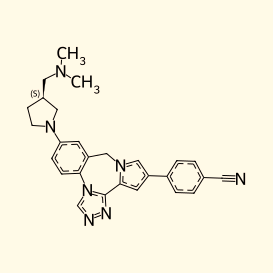 CN(C)C[C@@H]1CCN(c2ccc3c(c2)Cn2cc(-c4ccc(C#N)cc4)cc2-c2nncn2-3)C1